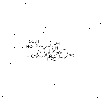 C[C@@H]1C[C@H]2[C@@H]3CCC4=CC(=O)CC[C@]4(C)[C@H]3[C@@H](O)C[C@]2(C)[C@H]1C(O)C(=O)O